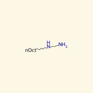 CCCCCCCCCCCCCCNCCCCCN